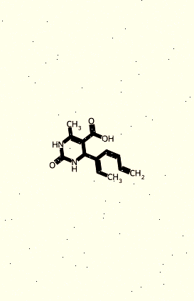 C=C/C=C\C(=C/C)C1NC(=O)NC(C)=C1C(=O)O